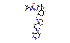 CN(C(=O)c1ccc2c(c1)C(NC(=O)C1CC1)CC2(C)C)C1CCN(c2ccncc2)CC1